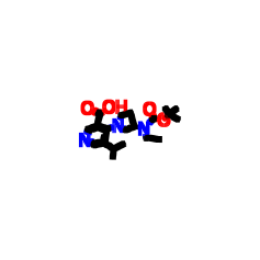 CCN(C(=O)OC(C)(C)C)[C@@H]1CCN(c2c(C(=O)O)cncc2C(C)C)C1